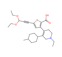 CCOC(C#Cc1cc(C2=C(C3CCC(C)CC3)CN(CC)CC2)c(C(=O)O)s1)OCC